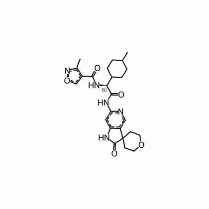 Cc1nocc1C(=O)N[C@H](C(=O)Nc1cc2c(cn1)C1(CCOCC1)C(=O)N2)C1CCC(C)CC1